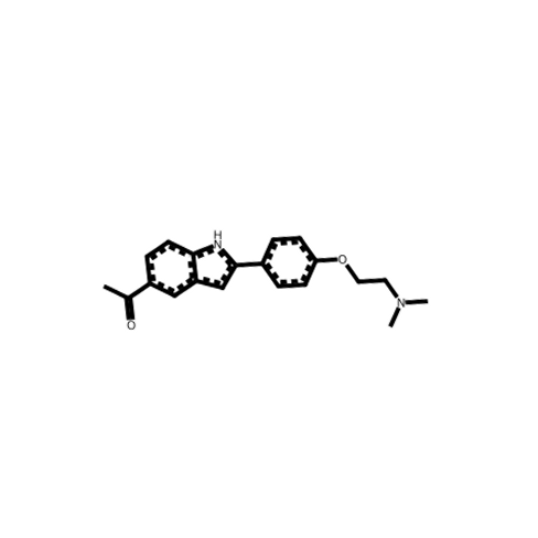 CC(=O)c1ccc2[nH]c(-c3ccc(OCCN(C)C)cc3)cc2c1